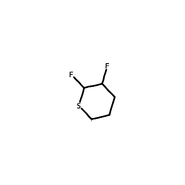 FC1CC[CH]SC1F